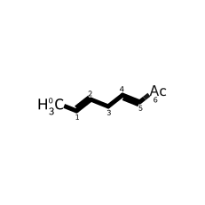 CC=CCC=CC(C)=O